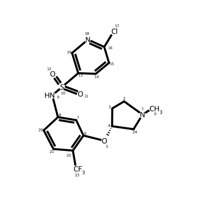 CN1CC[C@@H](Oc2cc(NS(=O)(=O)c3ccc(Cl)nc3)ccc2C(F)(F)F)C1